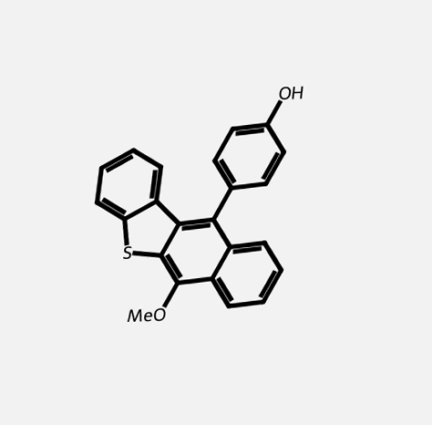 COc1c2ccccc2c(-c2ccc(O)cc2)c2c1sc1ccccc12